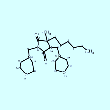 CCCCCCC1(C)C(=O)N(CN2CCOCC2)C(=O)N1CN1CCOCC1